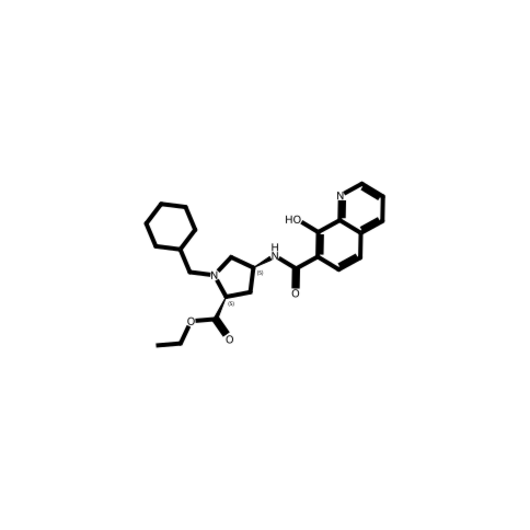 CCOC(=O)[C@@H]1C[C@H](NC(=O)c2ccc3cccnc3c2O)CN1CC1CCCCC1